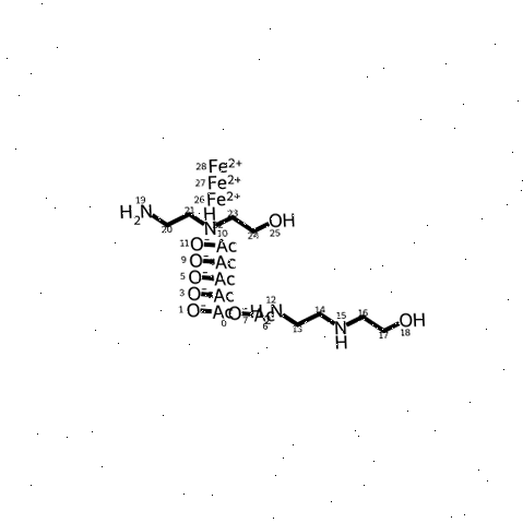 CC(=O)[O-].CC(=O)[O-].CC(=O)[O-].CC(=O)[O-].CC(=O)[O-].CC(=O)[O-].NCCNCCO.NCCNCCO.[Fe+2].[Fe+2].[Fe+2]